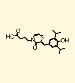 CC(C)c1cc(C=C2SC=CN(CCCC(=O)O)C2=O)cc(C(C)C)c1O